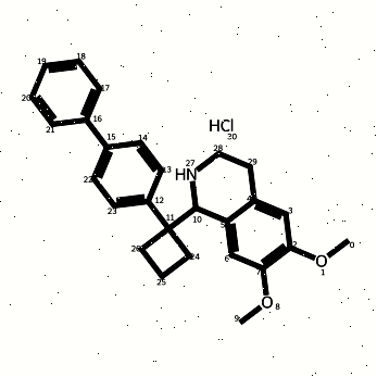 COc1cc2c(cc1OC)C(C1(c3ccc(-c4ccccc4)cc3)CCC1)NCC2.Cl